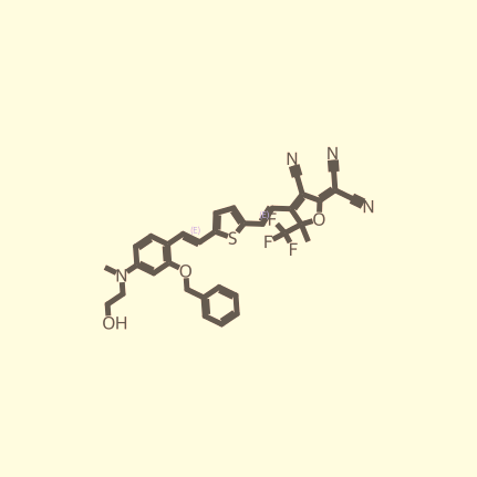 CN(CCO)c1ccc(/C=C/c2ccc(/C=C/C3=C(C#N)C(=C(C#N)C#N)OC3(C)C(F)(F)F)s2)c(OCc2ccccc2)c1